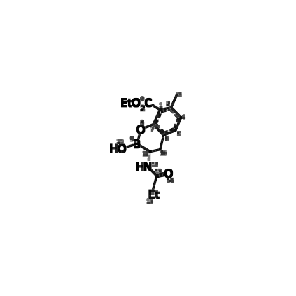 CCOC(=O)c1c(C)ccc2c1OB(O)[C@@H](NC(=O)CC)C2